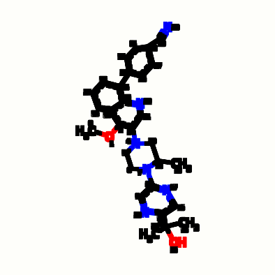 COc1c(N2CCN(c3cnc(C(C)(C)O)cn3)C(C)C2)cnc2c(-c3ccc(C#N)cc3)cccc12